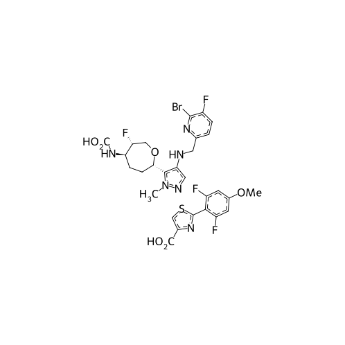 COc1cc(F)c(-c2nc(C(=O)O)cs2)c(F)c1.Cn1ncc(NCc2ccc(F)c(Br)n2)c1[C@@H]1CC[C@@H](NC(=O)O)[C@H](F)CO1